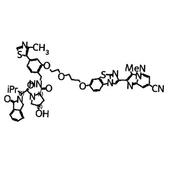 CNc1c(-c2cn3c(n2)sc2cc(OCCCOCCOc4cc(-c5scnc5C)ccc4CNC(=O)[C@@H]4C[C@@H](O)CN4C(=O)[C@H](C(C)C)N4Cc5ccccc5C4=O)ccc23)nc2cc(C#N)ccn12